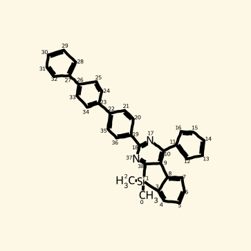 C[Si]1(C)c2ccccc2-c2c(-c3ccccc3)nc(-c3ccc(-c4ccc(-c5ccccc5)cc4)cc3)nc21